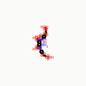 Nc1c(/N=N/c2ccc(S(=O)(=O)CCOS(=O)(=O)O)cc2)c(S(=O)(=O)O)cc2cc(S(=O)(=O)O)c(NNc3ccc(S(=O)(=O)CCOS(=O)(=O)O)cc3S(=O)(=O)O)c(O)c12